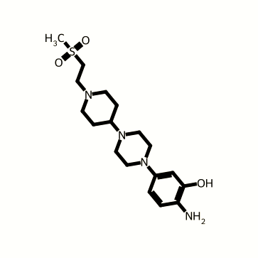 CS(=O)(=O)CCN1CCC(N2CCN(c3ccc(N)c(O)c3)CC2)CC1